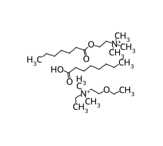 CCCCCCC(=O)OCC[N+](C)(C)C.CCCCCCCC(=O)O.CCOCC[N+](C)(C)CC